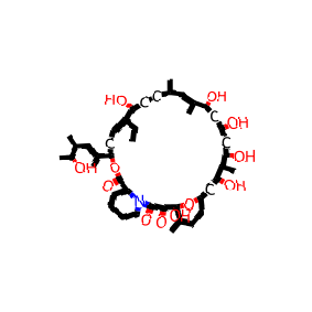 CC/C1=C\CC(/C(C)=C/C(C)C(C)O)OC(=O)C2CCCCN2C(=O)C(=O)C2(O)OC(CCC2C)CC(O)C(C)C(O)CC(O)CC(O)/C(C)=C/C(C)CCC1O